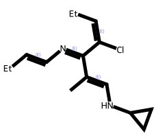 CC/C=C/N=C(C(\C)=C\NC1CC1)/C(Cl)=C\CC